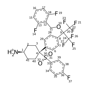 N[C@H]1CC[C@](c2ccc(C(OCc3c(F)cccc3F)(C(F)(F)F)C(F)(F)F)cc2)(S(=O)(=O)c2ccc(F)cc2)CC1